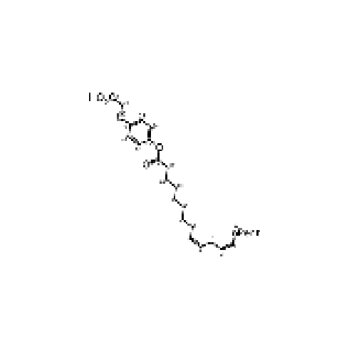 CCCCC/C=C\C/C=C\CCCCCCCC(=O)Oc1ccc(OCC(=O)O)cc1